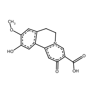 COc1cc2c(cc1O)-c1cc(=O)c(C(=O)O)cn1CC2